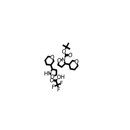 C1COCC(C2CCON2)C1.CC(C)(C)OC(=O)N1OCCC1C1CCCOC1.O=C(O)C(F)(F)F